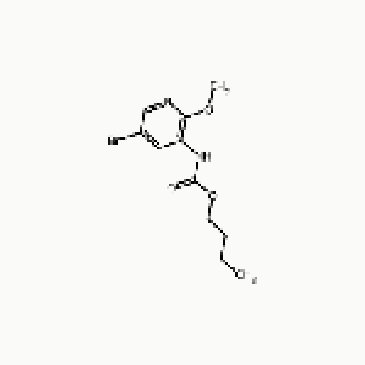 CCCCOC(=O)Nc1cc(Br)cnc1OC